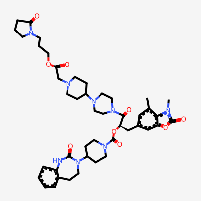 Cc1cc(C[C@@H](OC(=O)N2CCC(N3CCc4ccccc4NC3=O)CC2)C(=O)N2CCN(C3CCN(CC(=O)OCCCN4CCCC4=O)CC3)CC2)cc2oc(=O)n(C)c12